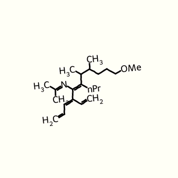 C=C/C=C(C=C)/C(N=C(C)C)=C(\CCC)C(C)C(C)CCCOC